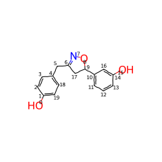 Oc1ccc(CC2=NOC(c3cccc(O)c3)C2)cc1